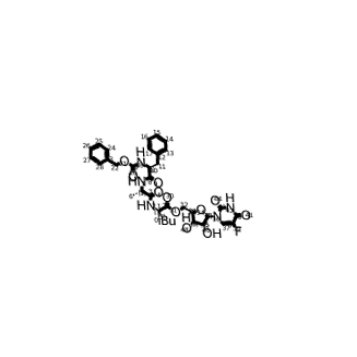 CC[C@H](C)[C@H](NC(=O)[C@H](C)NC(=O)[C@H](Cc1ccccc1)NC(=O)OCc1ccccc1)C(=O)OC[C@H]1O[C@@H](n2cc(F)c(=O)[nH]c2=O)[C@H](O)[C@@H]1O